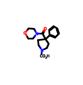 O=C(O)N1CCC(C(=O)N2CCOCC2)(c2ccccc2)CC1